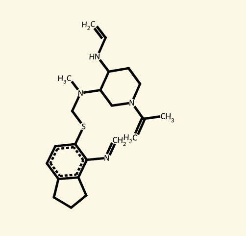 C=CNC1CCN(C(=C)C)CC1N(C)CSc1ccc2c(c1N=C)CCC2